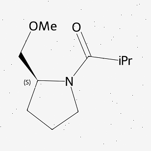 COC[C@@H]1CCCN1C(=O)C(C)C